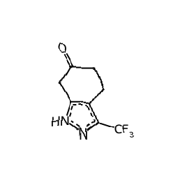 O=C1CCc2c(C(F)(F)F)n[nH]c2C1